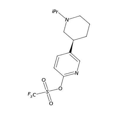 CC(C)N1CCC[C@@H](c2ccc(OS(=O)(=O)C(F)(F)F)nc2)C1